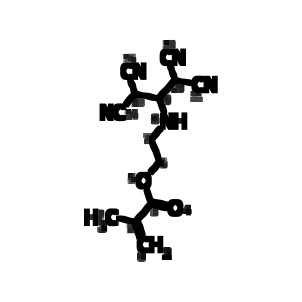 C=C(C)C(=O)OCCNC(C(C#N)C#N)C(C#N)C#N